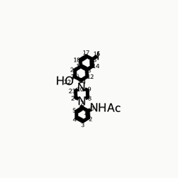 CC(=O)Nc1ccccc1N1CCN([C@@H]2Cc3cc(I)ccc3C[C@H]2O)CC1